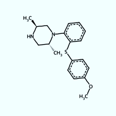 COc1ccc(Sc2ccccc2N2C[C@H](C)NC[C@H]2C)cc1